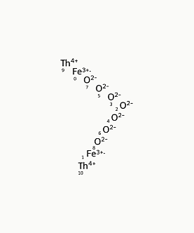 [Fe+3].[Fe+3].[O-2].[O-2].[O-2].[O-2].[O-2].[O-2].[O-2].[Th+4].[Th+4]